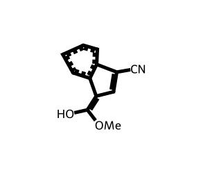 CO/C(O)=C1\C=C(C#N)c2ccccc21